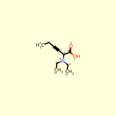 CCC#CC(C(=O)O)N(CC)CC